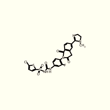 CN1CCN=C1c1ccc2c(c1)CC(=O)N(c1ccc(NC(=O)NS(=O)(=O)c3ccc(Cl)s3)cc1F)C2=O